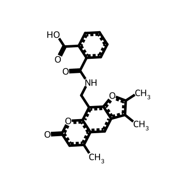 Cc1oc2c(CNC(=O)c3ccccc3C(=O)O)c3oc(=O)cc(C)c3cc2c1C